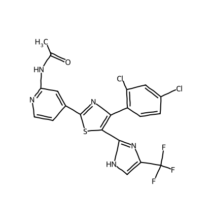 CC(=O)Nc1cc(-c2nc(-c3ccc(Cl)cc3Cl)c(-c3nc(C(F)(F)F)c[nH]3)s2)ccn1